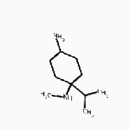 CNC1(C(C)C)CCC(N)CC1